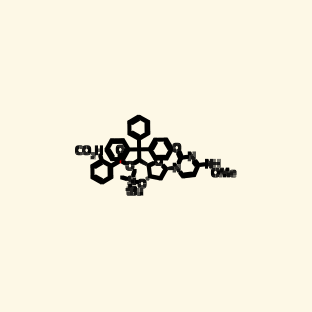 CONc1ccn([C@H]2C[C@H](O[Si](C)(C)C(C)(C)C)[C@@H](C(OC(=O)c3ccccc3C(=O)O)C(c3ccccc3)(c3ccccc3)c3ccccc3)O2)c(=O)n1